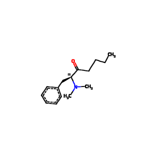 CCCCC(=O)[C@H](Cc1ccccc1)N(C)C